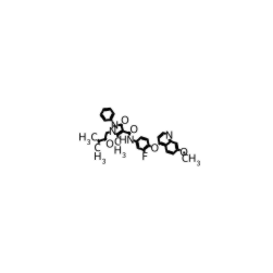 COc1ccc2c(Oc3ccc(NC(=O)c4c(C)n(CC(=O)C(C)C)n(-c5ccccc5)c4=O)cc3F)ccnc2c1